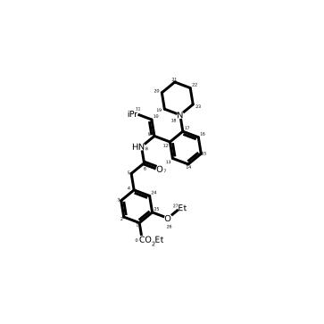 CCOC(=O)c1ccc(CC(=O)NC(=CC(C)C)c2ccccc2N2CCCCC2)cc1OCC